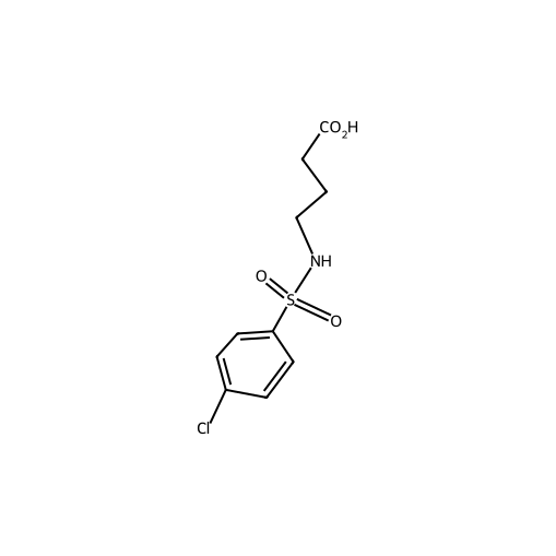 O=C(O)CCCNS(=O)(=O)c1ccc(Cl)cc1